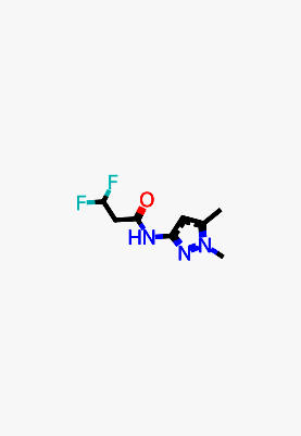 Cc1cc(NC(=O)CC(F)F)nn1C